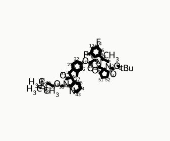 CC(C)(C)OC(=O)N1C[C@@](C)(c2cc(F)cc(F)c2)N(CC(=O)Oc2ccc3c(c2)C[C@@]2(C3)C(=O)N(COCC[Si](C)(C)C)c3ncccc32)C(=O)C12CCCC2